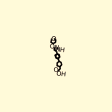 O=C(O)CC1CCC(c2ccc(-c3cc(OC4CCOCC4)n[nH]3)cc2)CC1